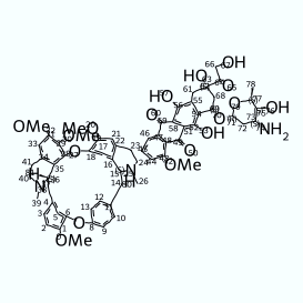 COc1ccc2cc1Oc1ccc(cc1)C[C@H]1c3cc(c(OC)cc3CCN1C)Oc1c(OC)c(OC)cc3c1[C@H](C2)N(C)CC3.COc1cccc2c1C(=O)c1c(O)c3c(c(O)c1C2=O)C[C@@](O)(C(=O)CO)C[C@@H]3O[C@H]1C[C@H](N)[C@H](O)[C@H](C)O1